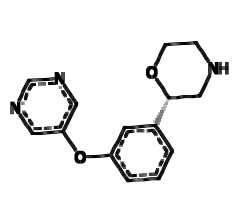 c1cc(Oc2cncnc2)cc([C@H]2CNCCO2)c1